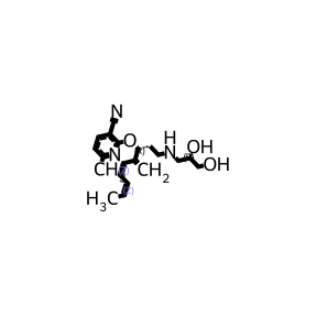 C=C(/C=C\C=C/C)[C@@H](CCNC[C@@H](O)CO)Oc1nc(C)ccc1C#N